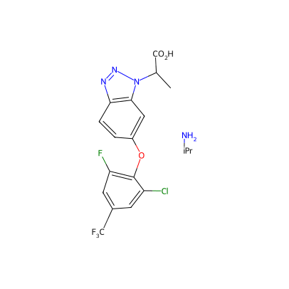 CC(C(=O)O)n1nnc2ccc(Oc3c(F)cc(C(F)(F)F)cc3Cl)cc21.CC(C)N